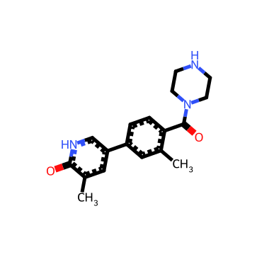 Cc1cc(-c2c[nH]c(=O)c(C)c2)ccc1C(=O)N1CCNCC1